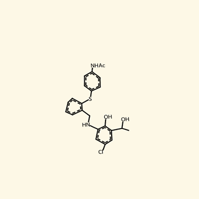 CC(=O)Nc1ccc(Sc2ccccc2CNc2cc(Cl)cc(C(C)O)c2O)cc1